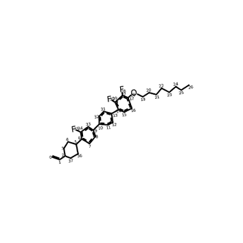 C=CC1CCC(c2ccc(-c3ccc(-c4ccc(OCCCCCCCC)c(F)c4F)cc3)cc2F)CC1